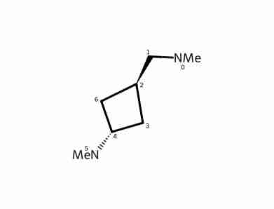 CNC[C@H]1C[C@H](NC)C1